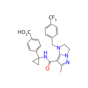 Cc1nn2c(c1C(=O)NC1(c3ccc(C(=O)O)cc3)CC1)N(Cc1ccc(C(F)(F)F)cc1)CC2